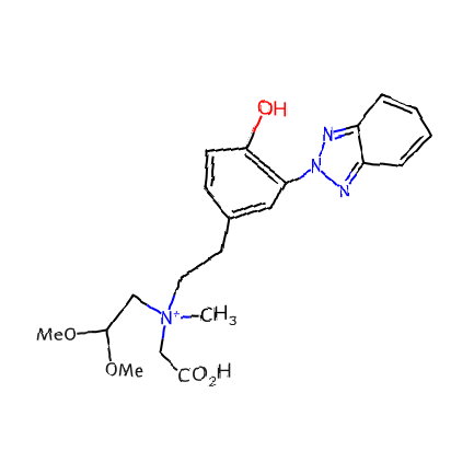 COC(C[N+](C)(CCc1ccc(O)c(-n2nc3ccccc3n2)c1)CC(=O)O)OC